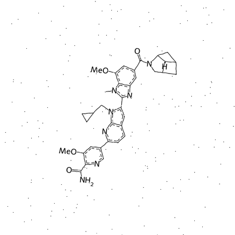 COc1cc(-c2ccc3cc(-c4nc5cc(C(=O)N6CC7CC8CC6[C@H]87)cc(OC)c5n4C)n(CC4CC4)c3n2)cnc1C(N)=O